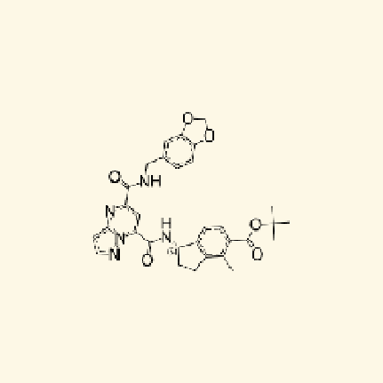 Cc1c(C(=O)OC(C)(C)C)ccc2c1CC[C@@H]2NC(=O)c1cc(C(=O)NCc2ccc3c(c2)OCO3)nc2ccnn12